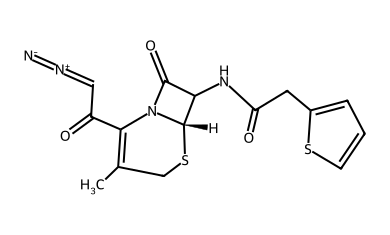 CC1=C(C(=O)C=[N+]=[N-])N2C(=O)C(NC(=O)Cc3cccs3)[C@@H]2SC1